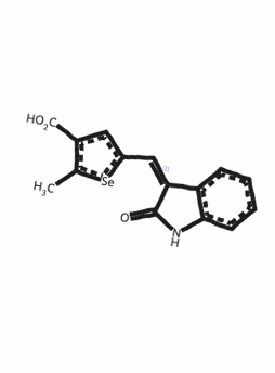 Cc1[se]c(/C=C2\C(=O)Nc3ccccc32)cc1C(=O)O